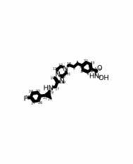 O=C(NO)c1ccc(CCCN2CCn3cc(CNC4CC4c4ccc(F)cc4)nc3C2)cc1